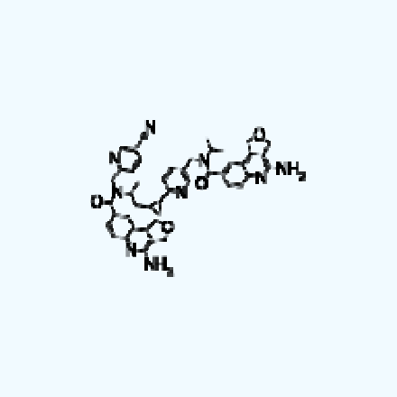 CC(C)N(Cc1ccc(C2CC2CC(C)N(Cc2ccc(C#N)cn2)C(=O)c2ccc3nc(N)c4c(c3c2)COC4)nc1)C(=O)c1ccc2nc(N)c3c(c2c1)COC3